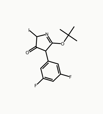 CC(C)(C)OC1=NC(I)C(=O)C1c1cc(F)cc(F)c1